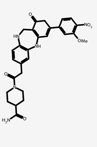 COc1cc(C2=CC3=C(CNc4ccc(CC(=O)N5CCC(C(N)=O)CC5)cc4N3)C(=O)C2)ccc1[N+](=O)[O-]